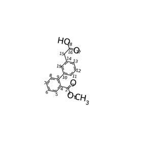 COC(=O)c1ccccc1-c1cccc(CC(=O)O)c1